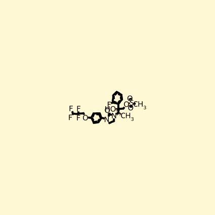 C[C@@H](N1CCN(c2ccc(OCC(F)(F)C(F)F)cc2)C1=O)[C@@](O)(COS(C)(=O)=O)c1ccccc1F